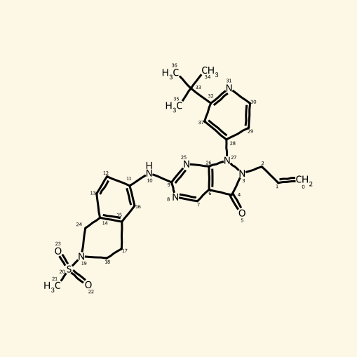 C=CCn1c(=O)c2cnc(Nc3ccc4c(c3)CCN(S(C)(=O)=O)C4)nc2n1-c1ccnc(C(C)(C)C)c1